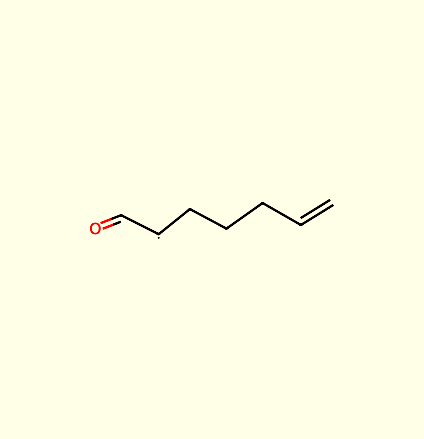 C=CCCC[CH]C=O